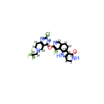 O=C1NCCc2[nH]c3c(c21)CCc1cnc(Oc2nc(Cl)nc4c2CN(CC(F)(F)F)CC4)c(F)c1-3